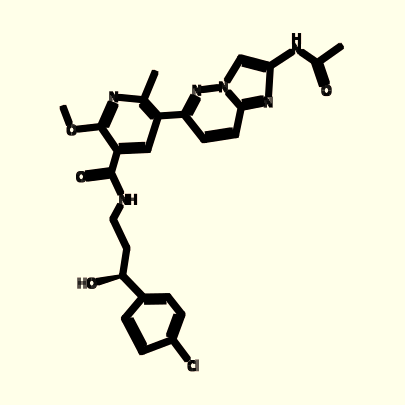 COc1nc(C)c(-c2ccc3nc(NC(C)=O)cn3n2)cc1C(=O)NCC[C@H](O)c1ccc(Cl)cc1